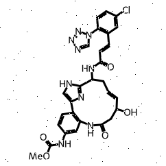 COC(=O)Nc1ccc2c(c1)NC(=O)CC(O)/C=C/CC(NC(=O)/C=C/c1cc(Cl)ccc1-n1cnnn1)c1nc-2c[nH]1